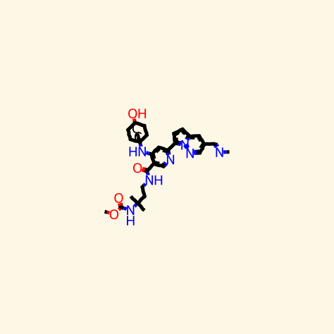 CN=Cc1cnn2c(-c3cc(NC45CCC(O)(CC4)CC5)c(C(=O)NCCC(C)(C)NC(=O)OC)cn3)ccc2c1